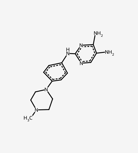 CN1CCN(c2ccc(Nc3ncc(N)c(N)n3)cc2)CC1